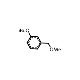 COCc1cccc(OCC(C)C)c1